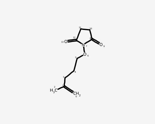 C=C(C)CCCON1C(=O)CCC1=O